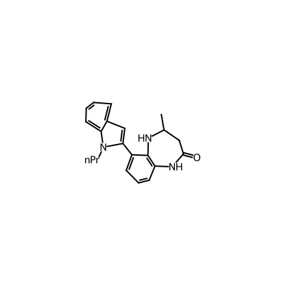 CCCn1c(-c2cccc3c2NC(C)CC(=O)N3)cc2ccccc21